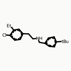 CCc1cc(CCNCc2ccc(C(C)(C)C)cc2)ccc1Cl